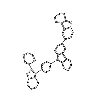 c1ccc(-c2nc3ccccc3n2-c2ccc(-n3c4ccccc4c4cc(-c5ccc6oc7ccccc7c6c5)ccc43)cc2)cc1